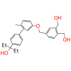 CCC(O)(CC)c1ccc(-c2cc(OCc3ccc(CO)c(CO)c3)ccc2C)cc1